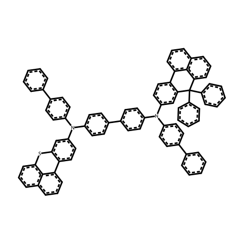 c1ccc(-c2ccc(N(c3ccc(-c4ccc(N(c5ccc(-c6ccccc6)cc5)c5ccc6c(c5)C(c5ccccc5)(c5ccccc5)c5cccc7cccc-6c57)cc4)cc3)c3ccc4c(c3)Sc3cccc5cccc-4c35)cc2)cc1